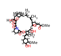 COC(=O)C=CCC1C=C(C)CC(C)CC(OC)C2OC(O)(C(=O)C(=O)N3CCCCC3C(=O)OC(C(C)=CC3CCC(O)C(OC)C3)C(C)C(O)CC1=O)C(C)CC2OC